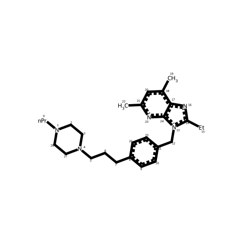 CCCN1CCN(CCCc2ccc(Cn3c(CC)nc4c(C)cc(C)nc43)cc2)CC1